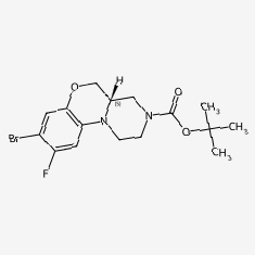 CC(C)(C)OC(=O)N1CCN2c3cc(F)c(Br)cc3OC[C@@H]2C1